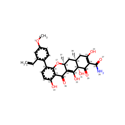 C=Cc1cc(OC)ccc1-c1ccc(O)c2c1O[C@H]1C[C@H]3CC(O)=C(C(N)=O)C(=O)[C@@]3(O)C(O)=C1C2=O